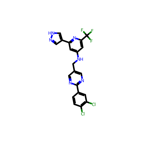 FC(F)(F)c1cc(NCc2cnc(-c3ccc(Cl)c(Cl)c3)nc2)cc(-c2cn[nH]c2)n1